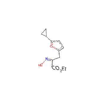 CCOC(=O)C(Cc1ccc(C2CC2)o1)=NO